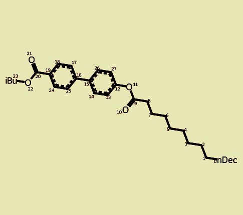 CCCCCCCCCCCCCCCCCCC(=O)Oc1ccc(-c2ccc(C(=O)OC(C)CC)cc2)cc1